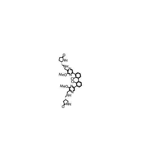 COc1nc(-c2cccc(-c3cccc(-c4cnc(CNC[C@@H]5CCC(=O)N5)c(OC)n4)c3Cl)c2Cl)cnc1CNC[C@@H]1CNC(=O)C1